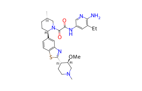 CCc1cc(NC(=O)C(=O)N2C[C@@H](C)CC[C@@H]2c2ccc3sc([C@H]4CCN(C)C[C@@H]4OC)nc3c2)cnc1N